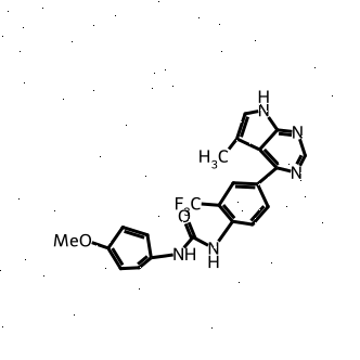 COc1ccc(NC(=O)Nc2ccc(-c3ncnc4[nH]cc(C)c34)cc2C(F)(F)F)cc1